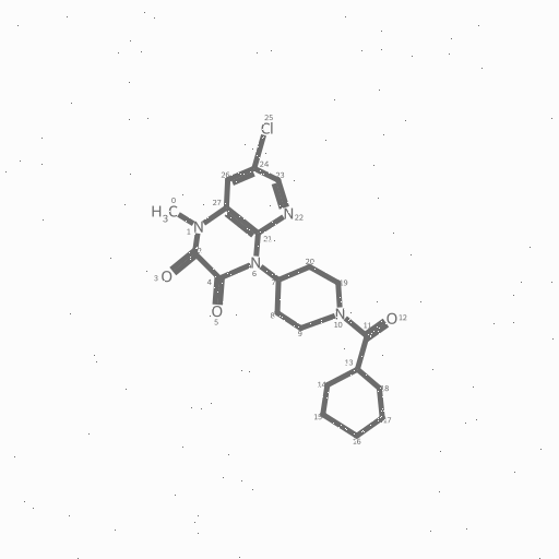 Cn1c(=O)c(=O)n(C2CCN(C(=O)C3CCCCC3)CC2)c2ncc(Cl)cc21